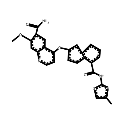 COc1cc2nccc(Oc3ccc4c(C(=O)Nc5nc(C)cs5)cccc4c3)c2cc1C(N)=O